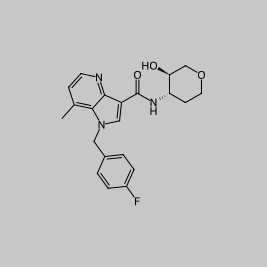 Cc1ccnc2c(C(=O)N[C@H]3CCOC[C@@H]3O)cn(Cc3ccc(F)cc3)c12